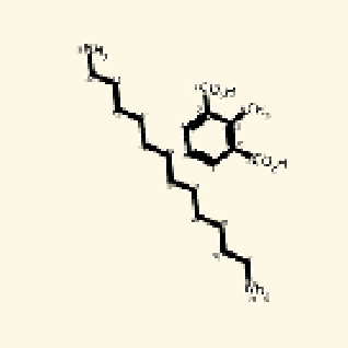 Cc1c(C(=O)O)cccc1C(=O)O.NCCCCCCCCCCCCN